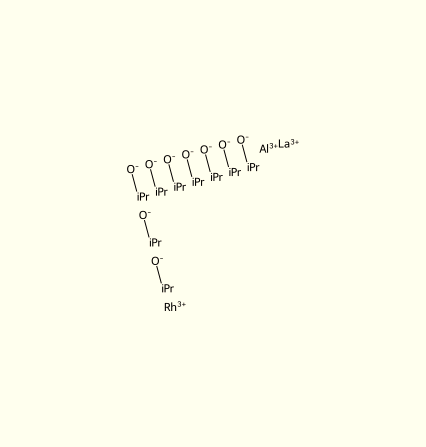 CC(C)[O-].CC(C)[O-].CC(C)[O-].CC(C)[O-].CC(C)[O-].CC(C)[O-].CC(C)[O-].CC(C)[O-].CC(C)[O-].[Al+3].[La+3].[Rh+3]